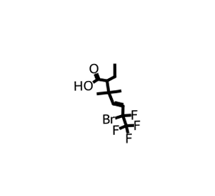 CCC(C(=O)O)C(C)(C)C=CC(F)(Br)C(F)(F)F